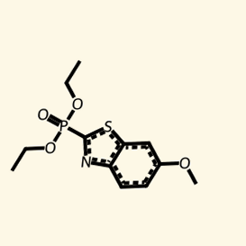 CCOP(=O)(OCC)c1nc2ccc(OC)cc2s1